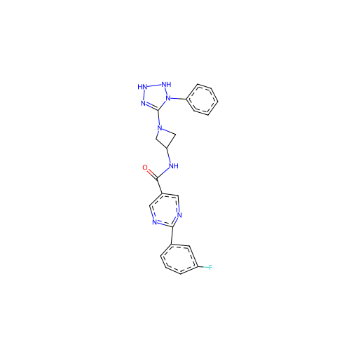 O=C(NC1CN(C2=NNNN2c2ccccc2)C1)c1cnc(-c2cccc(F)c2)nc1